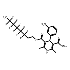 COC(=O)C1=C(C)NC(C)=C(C(=O)OCCC(F)(F)C(F)(F)C(F)(F)C(F)(F)C(F)(F)C(F)(F)F)C1c1cccc([N+](=O)[O-])c1